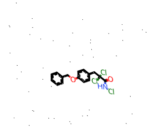 O=C(NCl)C(Cl)(Cl)Cc1ccc(OCc2ccccc2)cc1